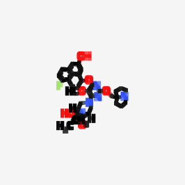 C#Cc1c(F)ccc2cc(O)cc(C3COc4c(nc(OCC56CCCN5CCC6)nc4N4C[C@H]5C[C@](C)(O)[C@@H](C4)N5C(=O)C=C)O3)c12